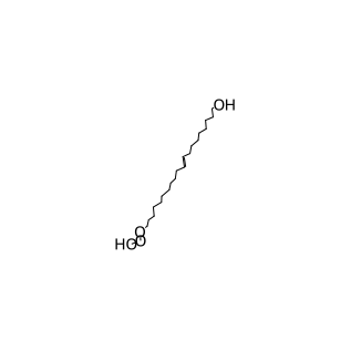 OCCCCCCCCC=CCCCCCCCCCCOOO